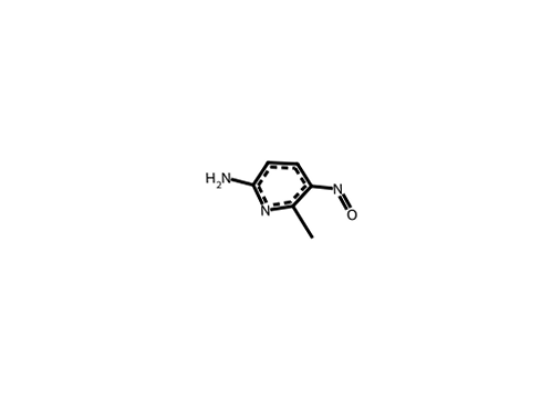 Cc1nc(N)ccc1N=O